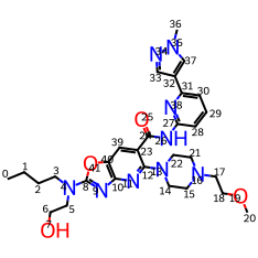 CCCCN(CCO)c1nc2nc(N3CCN(CCOC)CC3)c(C(=O)Nc3cccc(-c4cnn(C)c4)n3)cc2o1